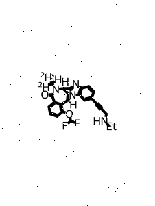 [2H]C([2H])([2H])N1C(=O)c2cccc(OC(F)F)c2[C@H]2C[C@@H]1c1nc3ccc(C#CCNCC)cc3n12